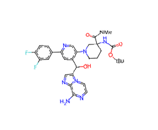 CNC(=O)C1(NC(=O)OC(C)(C)C)CCCN(c2cnc(-c3ccc(F)c(F)c3)cc2C(O)c2cnc3c(N)nccn23)C1